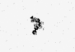 CCC(C(=O)Nc1ncc(-c2cccnc2)cc1C(F)(F)F)c1ccnc(NS(=O)(=O)C2CC2)n1